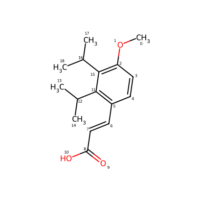 COc1ccc(C=CC(=O)O)c(C(C)C)c1C(C)C